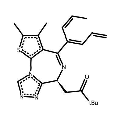 C=C/C=C(\C=C/C)C1=N[C@@H](CC(=O)C(C)(C)C)c2nncn2-c2sc(C)c(C)c21